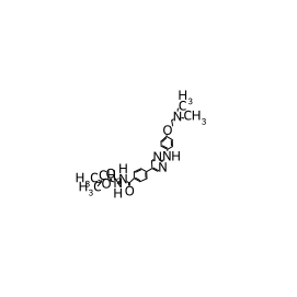 CCN(CC)CCOc1ccc(Nc2ncc(-c3ccc(C(=O)NNC(=O)OC(C)(C)C)cc3)cn2)cc1